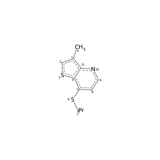 Cc1csc2c(SC(C)C)ccnc12